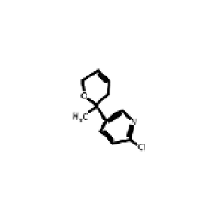 CC1(c2ccc(Cl)nc2)CC=CCO1